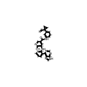 Cc1ncc(C(=O)Nc2cccc(C3(C#N)CC3)c2)cc1Nc1ncccc1-c1ncnc2[nH]cnc12